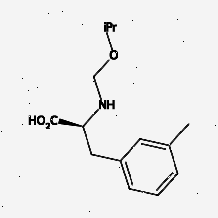 Cc1cccc(C[C@H](NCOC(C)C)C(=O)O)c1